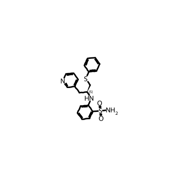 NS(=O)(=O)c1ccccc1N[C@H](CSc1ccccc1)Cc1cccnc1